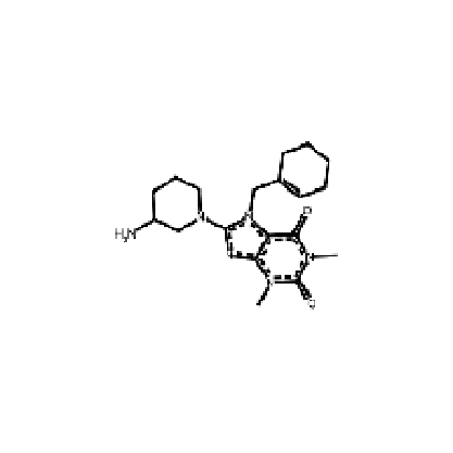 Cn1c(=O)c2c(nc(N3CCCC(N)C3)n2CC2=CCCCC2)n(C)c1=O